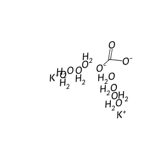 O.O.O.O.O.O.O.O.O=C([O-])[O-].[K+].[K+]